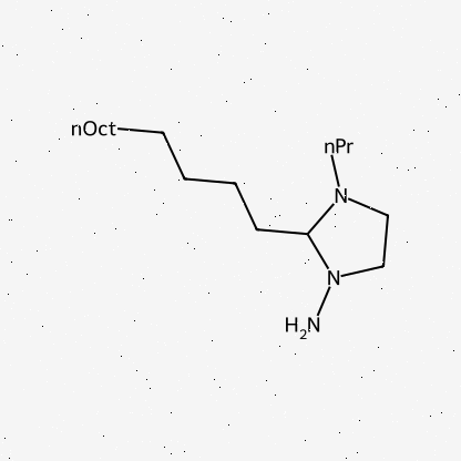 CCCCCCCCCCCCC1N(N)CCN1CCC